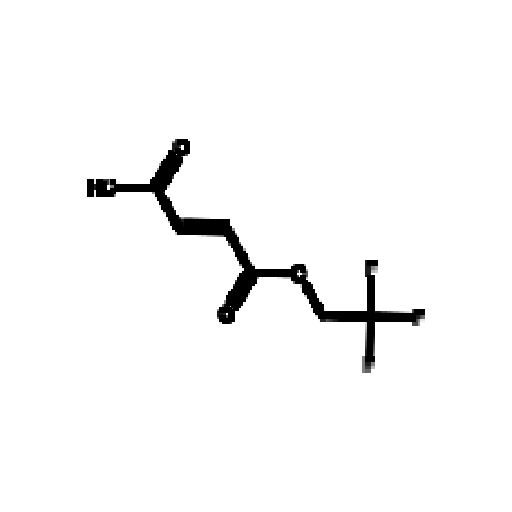 O=C(O)C=CC(=O)OCC(F)(F)F